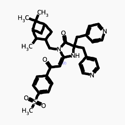 CC1C(CN2C(=O)C(Cc3ccncc3)(Cc3ccncc3)N/C2=C/C(=O)c2ccc(S(C)(=O)=O)cc2)CC2CC1C2(C)C